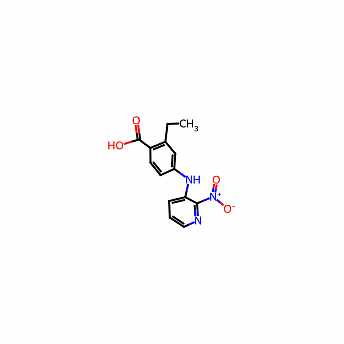 CCc1cc(Nc2cccnc2[N+](=O)[O-])ccc1C(=O)O